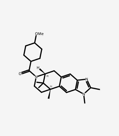 COC1CCC(C(=O)N2CC[C@@]3(C)c4cc5c(cc4C[C@@H]2C3(C)C)nc(C)n5C)CC1